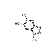 CC(C)c1nc2nnn(C)c2cc1O